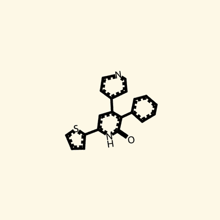 O=c1[nH]c(-c2cccs2)cc(-c2ccncc2)c1-c1ccccc1